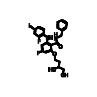 O=C(NCc1ccccc1)c1c(Nc2ccc(I)cc2F)cc(F)cc1OCCC(O)CO